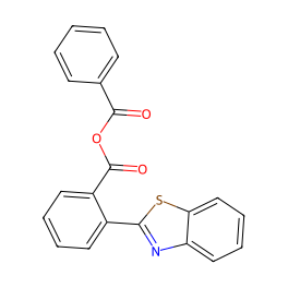 O=C(OC(=O)c1ccccc1-c1nc2ccccc2s1)c1ccccc1